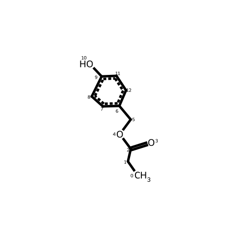 CCC(=O)OCc1ccc(O)cc1